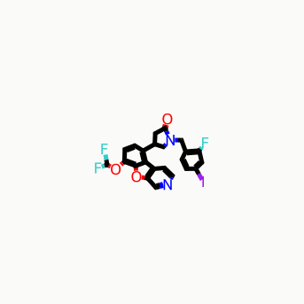 O=C1CC(c2ccc(OC(F)F)c3oc4cnccc4c23)CN1Cc1ccc(I)cc1F